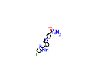 NC(=O)C1=CCC(n2ccc3c(-c4nc5ccc(F)cc5[nH]4)cccc32)C=C1